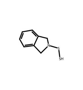 SSN1Cc2ccccc2C1